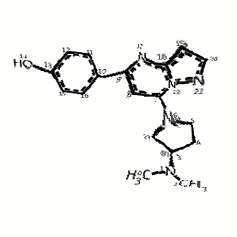 CN(C)[C@@H]1CCN(c2cc(-c3ccc(O)cc3)nc3ccnn23)C1